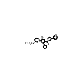 O=C(O)C[C@@H]1CCCN(c2nc(C3CCCC3)c(C(=O)N3CCC(c4cccnc4)C3)cc2S)C1